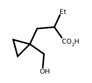 CCC(CC1(CO)CC1)C(=O)O